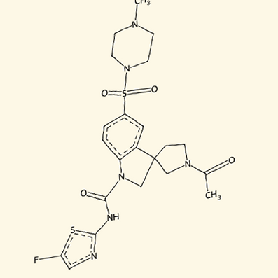 CC(=O)N1CCC2(C1)CN(C(=O)Nc1ncc(F)s1)c1ccc(S(=O)(=O)N3CCN(C)CC3)cc12